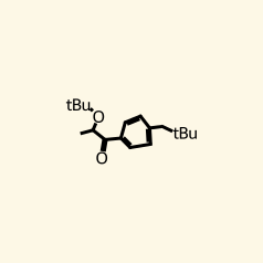 CC(OC(C)(C)C)C(=O)c1ccc(CC(C)(C)C)cc1